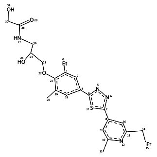 CCc1cc(-c2nnc(-c3cc(C)nc(CC(C)C)c3)s2)cc(C)c1OCC(O)CNC(=O)CO